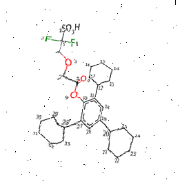 O=C(COCC(F)(F)S(=O)(=O)O)Oc1c(C2CCCCC2)cc(C2CCCCC2)cc1C1CCCCC1